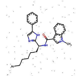 CC(=O)CCCCC[C@H](NC(=O)c1cn(C)c2ccccc12)C1=[N+]C=C(c2ccccc2)N1